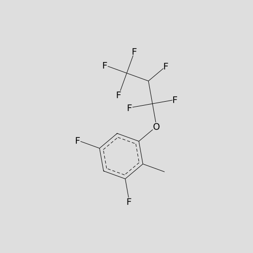 Cc1c(F)cc(F)cc1OC(F)(F)C(F)C(F)(F)F